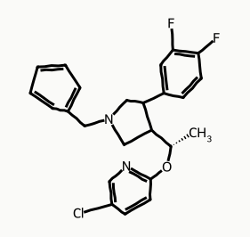 C[C@H](Oc1ccc(Cl)cn1)C1CN(Cc2ccccc2)CC1c1ccc(F)c(F)c1